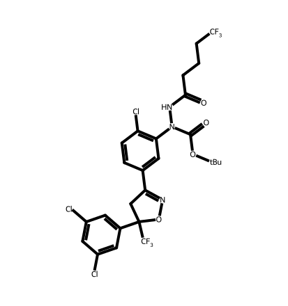 CC(C)(C)OC(=O)N(NC(=O)CCCC(F)(F)F)c1cc(C2=NOC(c3cc(Cl)cc(Cl)c3)(C(F)(F)F)C2)ccc1Cl